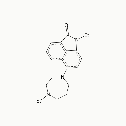 CCN1CCCN(c2ccc3c4c(cccc24)C(=O)N3CC)CC1